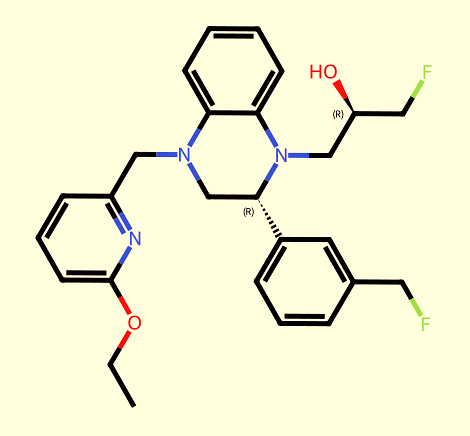 CCOc1cccc(CN2C[C@@H](c3cccc(CF)c3)N(C[C@@H](O)CF)c3ccccc32)n1